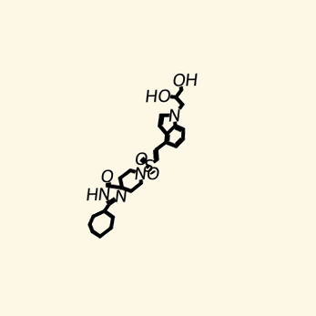 O=C1NC(C2CCCCCC2)=NC12CCN(S(=O)(=O)C=Cc1cccc3c1ccn3CC(O)CO)CC2